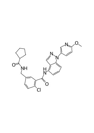 COc1ccc(-n2ncc3c(NC(=O)c4cc(CNC(=O)C5CCCC5)ccc4Cl)cccc32)cn1